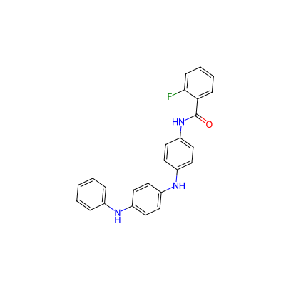 O=C(Nc1ccc(Nc2ccc(Nc3ccccc3)cc2)cc1)c1ccccc1F